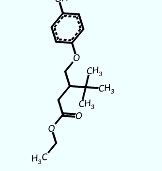 CCOC(=O)CC(COc1ccc(O)cc1)C(C)(C)C